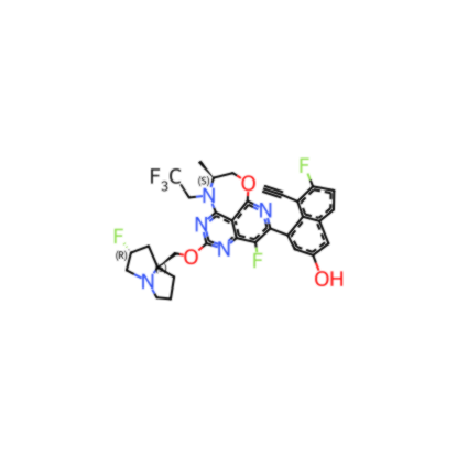 C#Cc1c(F)ccc2cc(O)cc(-c3nc4c5c(nc(OC[C@@]67CCCN6C[C@H](F)C7)nc5c3F)N(CC(F)(F)F)[C@@H](C)CO4)c12